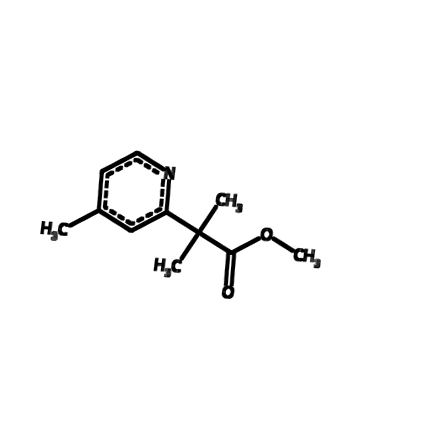 COC(=O)C(C)(C)c1cc(C)ccn1